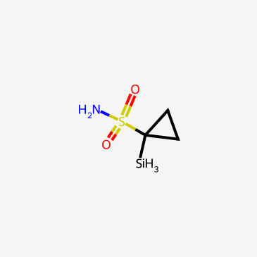 NS(=O)(=O)C1([SiH3])CC1